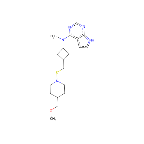 COCC1CCN(SCC2CC(N(C)c3ncnc4[nH]ccc34)C2)CC1